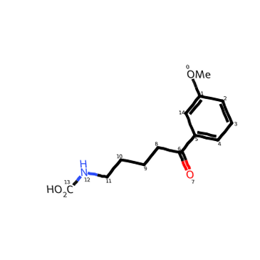 COc1cccc(C(=O)CCCCNC(=O)O)c1